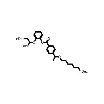 CCCCCCCCCCCCCCCCOC(C)c1ccc(C(=O)Oc2ccccc2OC(CCC)CCCCCCCCCCC)cc1